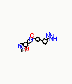 CC(C)n1ncc2c1C(=O)CC1(CCN(C(=O)c3ccc(-c4cccc(-c5nnn[nH]5)c4)cc3)CC1)C2